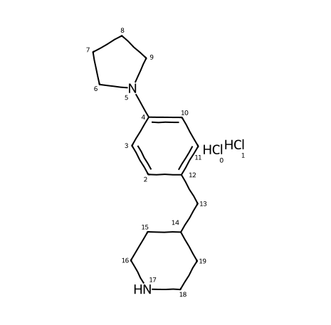 Cl.Cl.c1cc(N2CCCC2)ccc1CC1CCNCC1